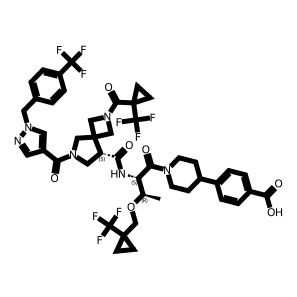 C[C@@H](OCC1(C(F)(F)F)CC1)[C@H](NC(=O)[C@@H]1CN(C(=O)c2cnn(Cc3ccc(C(F)(F)F)cc3)c2)CC12CN(C(=O)C1(C(F)(F)F)CC1)C2)C(=O)N1CCC(c2ccc(C(=O)O)cc2)CC1